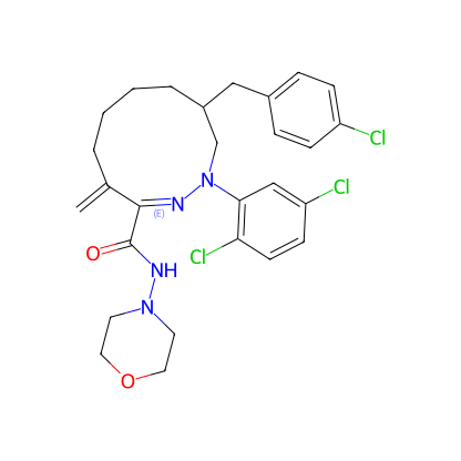 C=C1CCCCC(Cc2ccc(Cl)cc2)CN(c2cc(Cl)ccc2Cl)/N=C\1C(=O)NN1CCOCC1